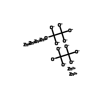 [O-]C([O-])([O-])C([O-])([O-])[O-].[O-]C([O-])([O-])C([O-])([O-])[O-].[Zn+2].[Zn+2].[Zn+2].[Zn+2].[Zn+2].[Zn+2]